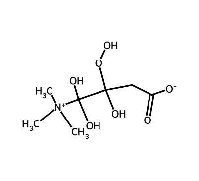 C[N+](C)(C)C(O)(O)C(O)(CC(=O)[O-])OO